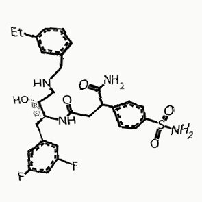 CCc1cccc(CNC[C@@H](O)[C@H](Cc2cc(F)cc(F)c2)NC(=O)CC(C(N)=O)c2ccc(S(N)(=O)=O)cc2)c1